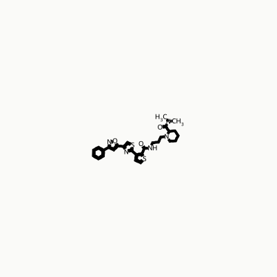 CN(C)C(=O)C1CCCCN1CCCNC(=O)c1sccc1-c1nc(-c2cc(-c3ccccc3)no2)cs1